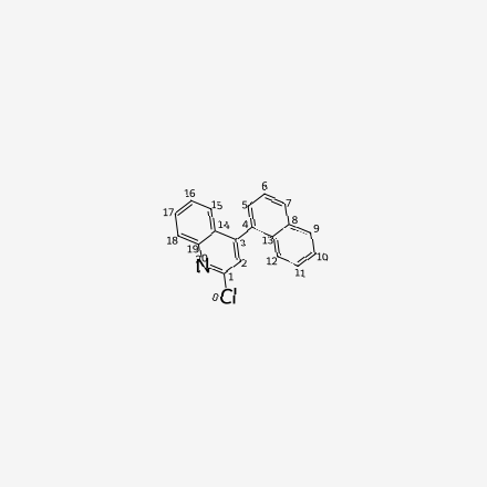 Clc1cc(-c2cccc3ccccc23)c2ccccc2n1